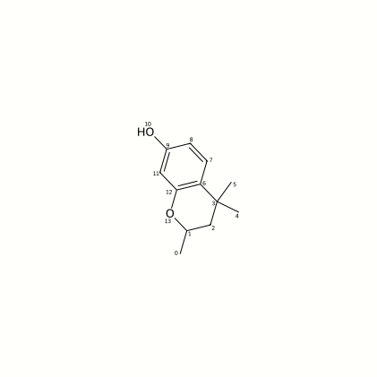 CC1CC(C)(C)c2ccc(O)cc2O1